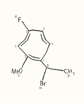 COc1cc(F)ccc1C(C)Br